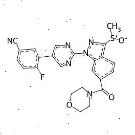 C[S+]([O-])c1nn(-c2ncc(-c3cc(C#N)ccc3F)cn2)c2cc(C(=O)N3CCOCC3)ccc12